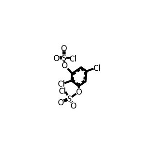 O=S(=O)(Cl)Oc1cc(Cl)cc(OS(=O)(=O)Cl)c1Cl